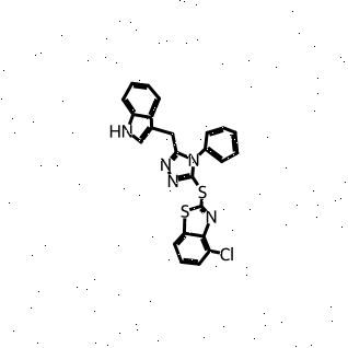 Clc1cccc2sc(Sc3nnc(Cc4c[nH]c5ccccc45)n3-c3ccccc3)nc12